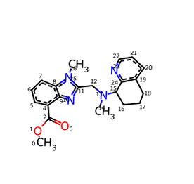 COC(=O)c1cccc2c1nc(CN(C)C1CCCc3cccnc31)n2C